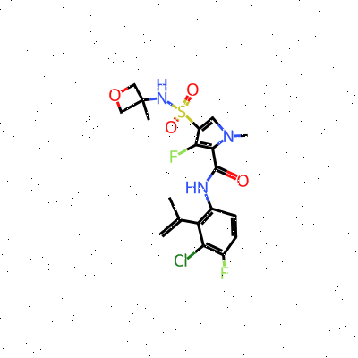 C=C(C)c1c(NC(=O)c2c(F)c(S(=O)(=O)NC3(C)COC3)cn2C)ccc(F)c1Cl